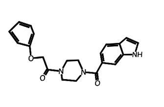 O=C(COc1ccccc1)N1CCN(C(=O)c2ccc3cc[nH]c3c2)CC1